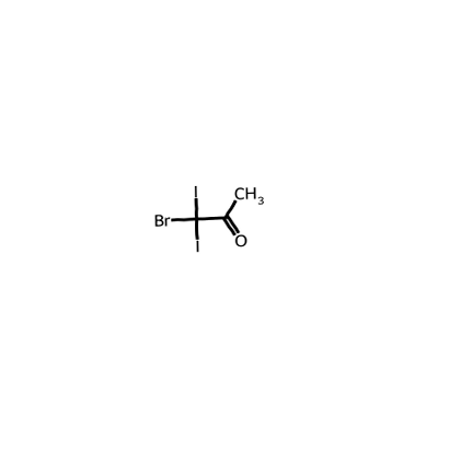 CC(=O)C(Br)(I)I